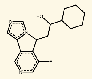 OC(CC1c2c(F)cncc2-c2cncn21)C1CCCCC1